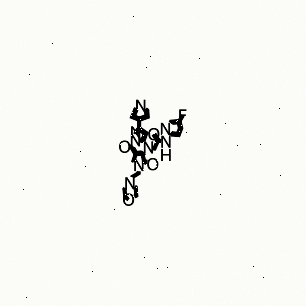 O=C(Cn1c2c(c(=O)n3nc(-c4ccncc4)cc13)CN(CCN1CCOCC1)C2=O)Nc1ccc(F)cn1